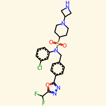 O=S(=O)(C1CCN(C2CNC2)CC1)N(Cc1ccc(-c2nnc(C(F)F)o2)cc1)c1cccc(Cl)c1